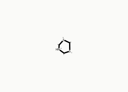 [CH]1SCNCS1